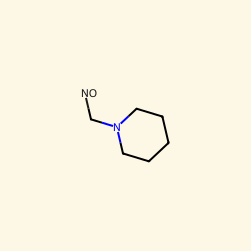 O=NCN1CCCCC1